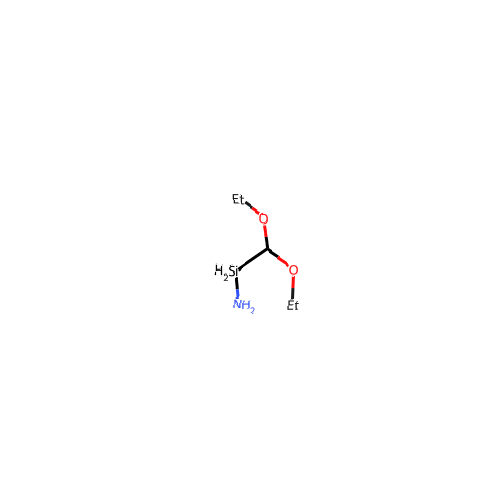 CCOC(OCC)[SiH2]N